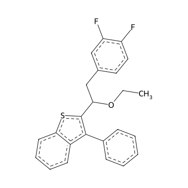 CCOC(Cc1ccc(F)c(F)c1)c1sc2ccccc2c1-c1ccccc1